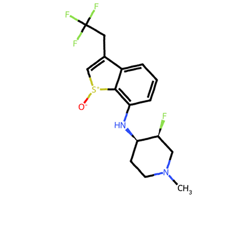 CN1CC[C@@H](Nc2cccc3c(CC(F)(F)F)c[s+]([O-])c23)[C@@H](F)C1